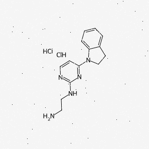 Cl.Cl.NCCNc1nccc(N2CCc3ccccc32)n1